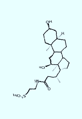 C[C@H](CC(=O)NCCS(=O)(=O)O)[C@H]1CCC2C3CC[C@@H]4C[C@H](O)CC[C@]4(C)C3C[C@H](O)[C@@]21C